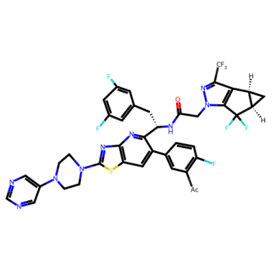 CC(=O)c1cc(-c2cc3sc(N4CCN(c5cncnc5)CC4)nc3nc2[C@H](Cc2cc(F)cc(F)c2)NC(=O)Cn2nc(C(F)(F)F)c3c2C(F)(F)[C@@H]2C[C@H]32)ccc1F